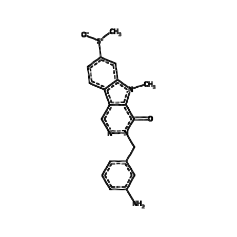 Cn1c2cc([S+](C)[O-])ccc2c2cnn(Cc3cccc(N)c3)c(=O)c21